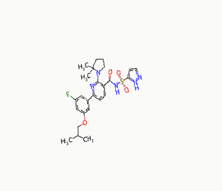 CC(C)COc1cc(F)cc(-c2ccc(C(=O)NS(=O)(=O)c3ccn[nH]3)c(N3CCCC3(C)C)n2)c1